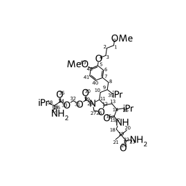 COCCCOc1cc(CC(CC2C(CC(C(=O)NCC(C)(C)C(N)=O)C(C)C)OCN2C(=O)OCOC(=O)[C@@H](N)C(C)C)C(C)C)ccc1OC